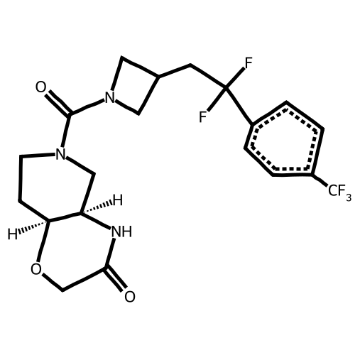 O=C1CO[C@H]2CCN(C(=O)N3CC(CC(F)(F)c4ccc(C(F)(F)F)cc4)C3)C[C@H]2N1